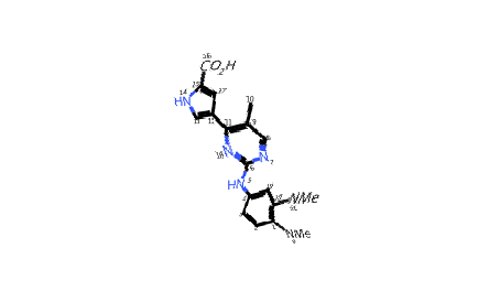 CNc1ccc(Nc2ncc(C)c(-c3c[nH]c(C(=O)O)c3)n2)cc1NC